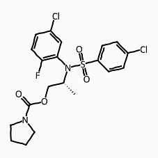 C[C@H](COC(=O)N1CCCC1)N(c1cc(Cl)ccc1F)S(=O)(=O)c1ccc(Cl)cc1